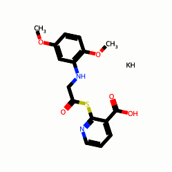 COc1ccc(OC)c(NCC(=O)Sc2ncccc2C(=O)O)c1.[KH]